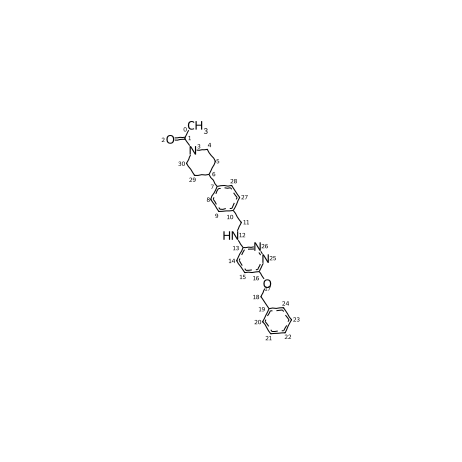 CC(=O)N1CCC(c2ccc(CNc3ccc(OCc4ccccc4)nn3)cc2)CC1